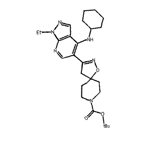 CCn1ncc2c(NC3CCCCC3)c(C3=NOC4(CCN(C(=O)OC(C)(C)C)CC4)C3)cnc21